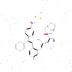 COc1ccc2c(c1)C=C(c1c(C(=O)N3C4CCC3CN(C)C4)cnn1C(C)C)Cn1c-2c(C2CCCCC2)c2ccc(C(=O)NS(=O)(=O)N(C)C)cc21